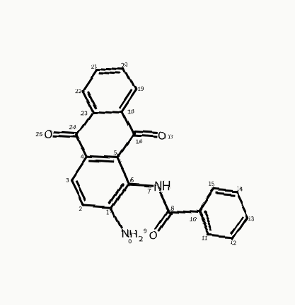 Nc1ccc2c(c1NC(=O)c1ccccc1)C(=O)c1ccccc1C2=O